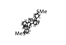 CSc1ccc(-c2cc(/C(=C/N[C@@H]3CCN(SC)C3)C(=N)c3cccc(C)n3)ccn2)cc1